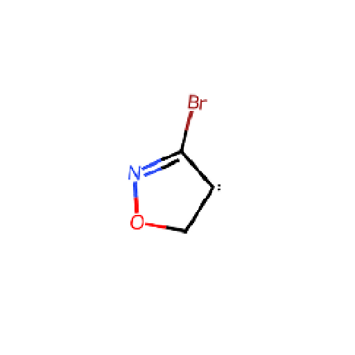 BrC1=NOC[C]1